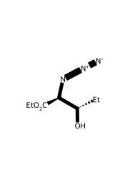 CCOC(=O)[C@@H](N=[N+]=[N-])[C@@H](O)CC